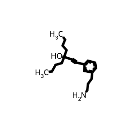 CCCCC(O)(C#Cc1cccc(CCCN)c1)CCCC